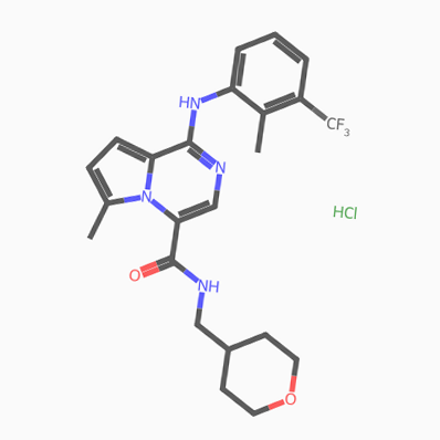 Cc1c(Nc2ncc(C(=O)NCC3CCOCC3)n3c(C)ccc23)cccc1C(F)(F)F.Cl